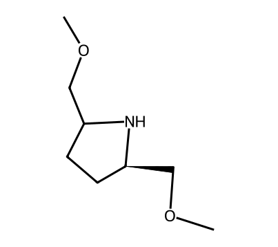 COCC1CC[C@H](COC)N1